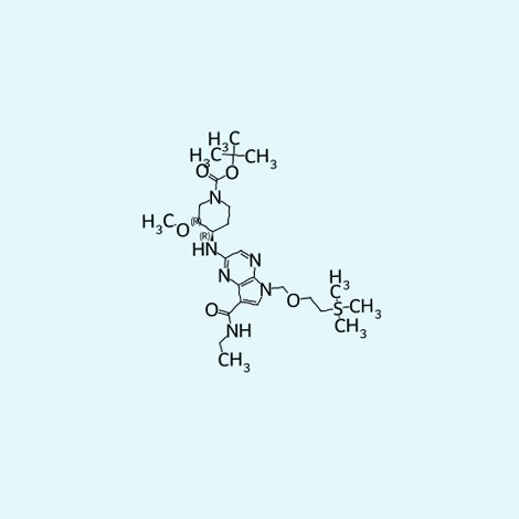 CCNC(=O)c1cn(COCCS(C)(C)C)c2ncc(N[C@@H]3CCN(C(=O)OC(C)(C)C)C[C@H]3OC)nc12